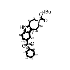 CC(C)(C)OC(=O)N1CCc2[nH]c3ccc(S(=O)(=O)c4ccccc4)cc3c2CC1